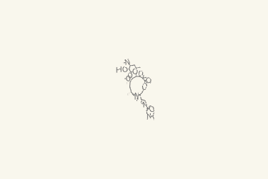 CO[C@]1(C)C[C@@H](C)CN(C)[C@H](C2CN(C(=O)CN(C)C(C)C)C2)COC(=O)C(C)(C)C(=O)[C@H](C)[C@H]1O[C@@H]1O[C@H](C)C[C@H](N(C)C)[C@H]1O